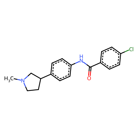 CN1CCC(c2ccc(NC(=O)c3ccc(Cl)cc3)cc2)C1